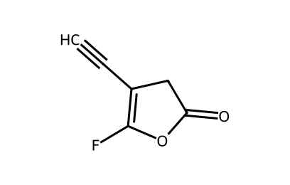 C#CC1=C(F)OC(=O)C1